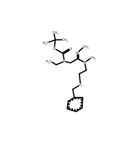 CCN(C/C(=N/C)N(C)CCOCc1ccccc1)C(=O)OC(C)(C)C